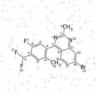 Cc1nc(-c2cc(F)c(C(F)F)cc2C)c2ccc(Br)cc2n1